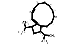 CC(C)C1CC(C(C)C)C2CCCCCCCC=CC=C12